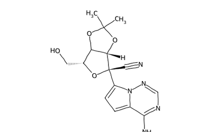 CC1(C)OC2[C@@H](CO)O[C@@](C#N)(c3ccc4c(N)ncnn34)[C@H]2O1